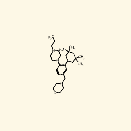 CCCN1CCN(c2ccc(CN3CCOCC3)cc2C2CC(C)(C)CC(C)(C)C2)CC1